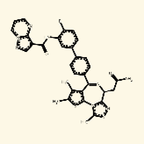 Cc1sc2c(c1C)C(c1ccc(-c3ccc(F)c(NC(=O)c4cnn5cccnc45)c3)cc1)=N[C@@H](CC(N)=O)c1nnc(C)n1-2